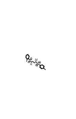 Cc1ccc(S(=O)(=O)NCCNS(=O)(=O)c2ccccc2C)cc1